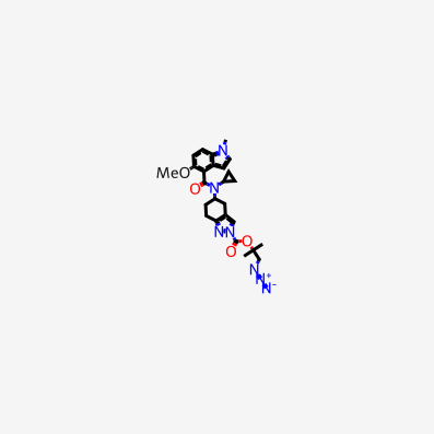 COc1ccc2c(ccn2C)c1C(=O)N(C1CC1)C1CCc2nn(C(=O)OC(C)(C)CN=[N+]=[N-])cc2C1